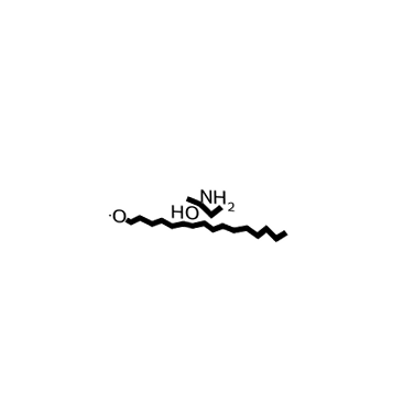 CCC(C)(N)O.CCCCCCCCCCCCCCCC[O]